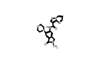 CN1Cc2cc(NC(=O)c3cnn4cccnc34)c(N3CCOCC3)cc2C1=O